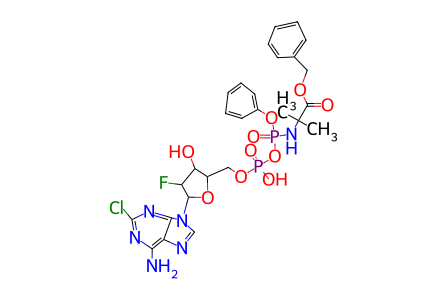 CC(C)(NP(=O)(Oc1ccccc1)OP(=O)(O)OCC1OC(n2cnc3c(N)nc(Cl)nc32)C(F)C1O)C(=O)OCc1ccccc1